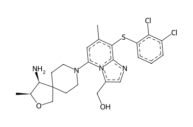 Cc1cc(N2CCC3(CC2)CO[C@@H](C)[C@H]3N)n2c(CO)cnc2c1Sc1cccc(Cl)c1Cl